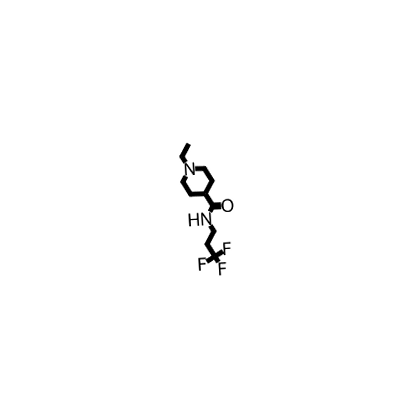 CCN1CCC(C(=O)NCCC(F)(F)F)CC1